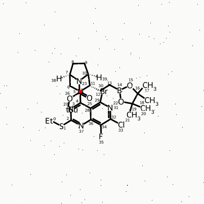 CCSc1nc(N2C[C@H]3CC[C@@H]([C@@H]2CCB2OC(C)(C)C(C)(C)O2)N3C(=O)OC(C)(C)C)c2c(Br)nc(Cl)c(F)c2n1